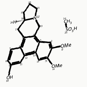 COc1cc2c3c(c4ccc(O)cc4c2cc1OC)C[C@H]1CCCN1C3.CS(=O)(=O)O